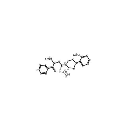 COc1ccccc1N1CCN(C(F)CC(NC(C)=O)C(=O)c2ccccc2)CC1.Cl.O